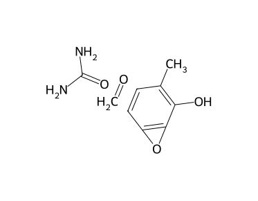 C=O.Cc1ccc2c(c1O)O2.NC(N)=O